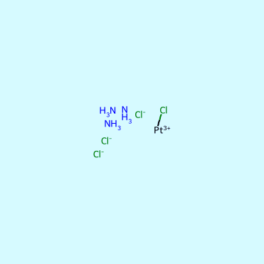 N.N.N.[Cl-].[Cl-].[Cl-].[Cl][Pt+3]